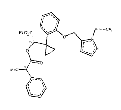 CCOC(=O)[C@@H](OC(=O)[C@H](OC)c1ccccc1)C1(c2ccccc2OCc2ccnn2CC(F)(F)F)CC1